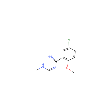 CN/C=N\C(=N)c1cc(Cl)ccc1OC